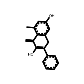 C=C1C(O)=C(c2ccccc2)Cc2cc(O)cc(C)c21